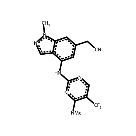 CNc1nc(Nc2cc(CC#N)cc3c2cnn3C)ncc1C(F)(F)F